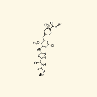 CCC(NC(=O)OC(C)(C)C)c1nnc(Nc2cc(Cl)cc(CN3CCN(C(=O)OC(C)C)[C@@H](C)C3)c2C)o1